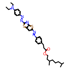 CCN(CC)c1ccc(/N=N/c2nc3sc(/N=N/c4ccc(CCC(=O)OCCC(C)CCCC(C)C)cc4)cc3s2)cc1